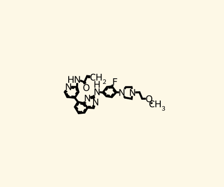 C=CC(=O)Nc1cc(-c2cccc3cnc(Nc4ccc(N5CCN(CCOC)CC5)c(F)c4)nc23)ccn1